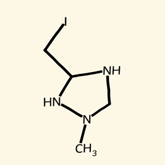 CN1CNC(CI)N1